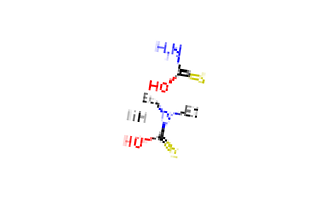 CCN(CC)C(O)=S.NC(O)=S.[LiH]